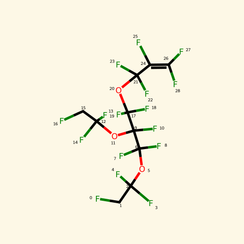 FCC(F)(F)OC(F)(F)C(F)(OC(F)(F)CF)C(F)(F)OC(F)(F)C(F)=C(F)F